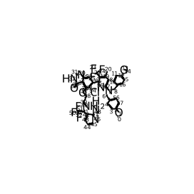 COc1ccc(CN(Cc2ccc(OC)cc2)c2cc(C)c(C(F)(F)F)c(-c3cc4nc[nH]c(=O)c4c(OCCNC(c4cccnc4N)C(F)(F)F)c3Cl)n2)cc1